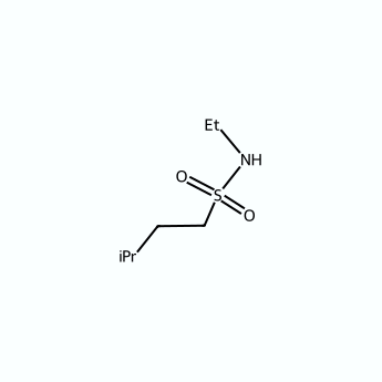 CCNS(=O)(=O)CCC(C)C